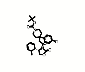 CC1C=CC=CC1[C@H]1COC(=O)N1C(=O)CC1(c2ccc(Cl)cc2)CCN(C(=O)OC(C)(C)C)CC1